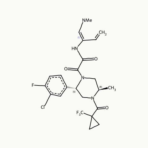 C=C/C(=C\NC)NC(=O)C(=O)N1C[C@@H](C)N(C(=O)C2(C(F)(F)F)CC2)C[C@@H]1c1ccc(F)c(Cl)c1